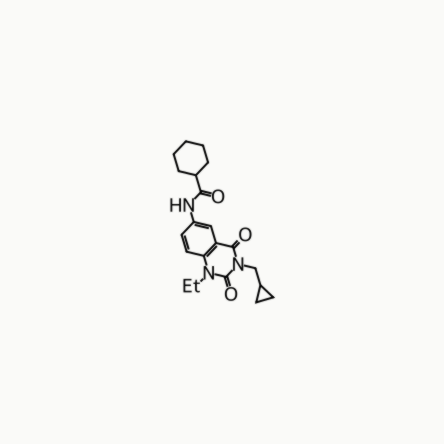 CCn1c(=O)n(CC2CC2)c(=O)c2cc(NC(=O)C3CCCCC3)ccc21